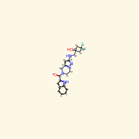 O=C(c1cc2ccccc2[nH]1)N1CCn2nc(NCC3(O)CC(F)(F)C3)cc2C1